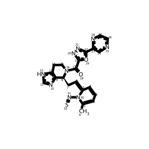 CC1=CC=C/C(=C/C[C@H]2c3nc[nH]c3CCN2C(=O)c2nnc(-c3cnccn3)o2)N1N=S